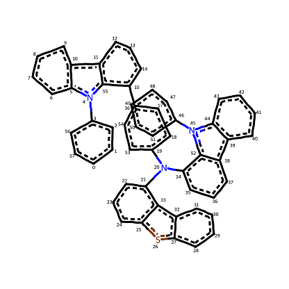 c1ccc(-n2c3ccccc3c3cccc(-c4ccc(N(c5cccc6sc7ccccc7c56)c5cccc6c7ccccc7n(-c7ccccc7)c56)cc4)c32)cc1